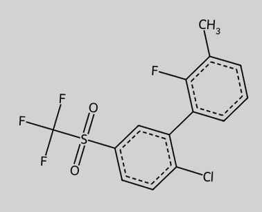 Cc1cccc(-c2cc(S(=O)(=O)C(F)(F)F)ccc2Cl)c1F